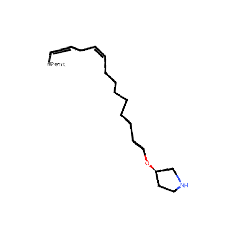 CCCCC/C=C\C/C=C\CCCCCCCCO[C@@H]1CCNC1